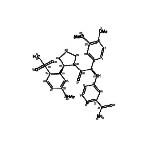 COc1ccc([C@@H](Nc2ccnc(C(N)=O)c2)C(=O)N2CCC[C@@H]2c2cc(NC(C)=O)ccc2S(C)(=O)=O)cc1OC